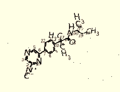 [C-]#[N+]c1cncc(-c2ccc(C(C)(C)C(=O)N[C@H](C)CC)cc2)n1